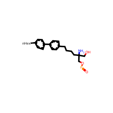 CCCCCCc1ccc(-c2ccc(CCCCC(N)(CO)COP=O)cc2)cc1